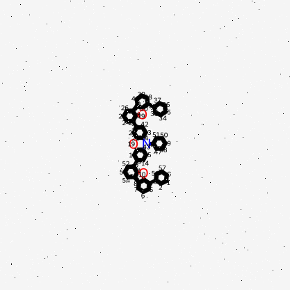 c1ccc(-c2cccc3c2oc2c(-c4ccc5c(c4)Oc4cc(-c6cccc7c6oc6c(-c8ccccc8)cccc67)ccc4N5c4ccccc4)cccc23)cc1